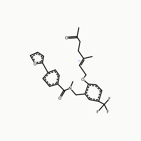 CC(=O)CC/C(C)=C/COc1ccc(C(F)(F)F)cc1CN(C)C(=O)c1ccc(-c2ccco2)cc1